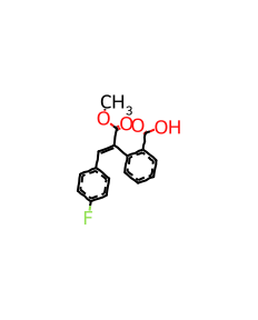 COC(=O)/C(=C/c1ccc(F)cc1)c1ccccc1C(=O)O